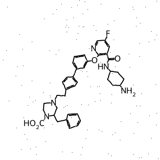 NC1CCC(NC(=O)c2cc(F)cnc2Oc2cccc(-c3ccc(CCN4CCN(C(=O)O)C(Cc5ccccc5)C4)cc3)c2)CC1